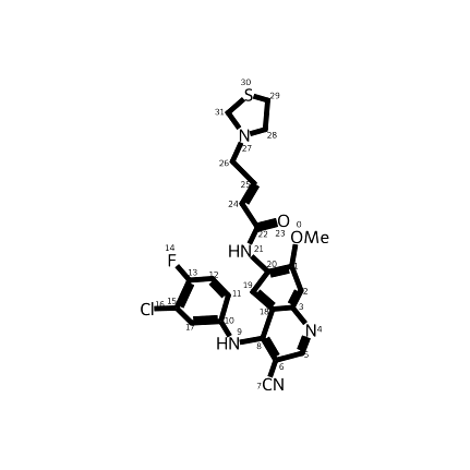 COc1cc2ncc(C#N)c(Nc3ccc(F)c(Cl)c3)c2cc1NC(=O)C=CCN1CCSC1